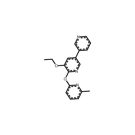 CCOc1cc(-c2cccnc2)cnc1Oc1cccc(C)n1